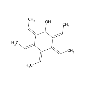 CC=C1C(=CC)C(=CC)C(O)C(=CC)C1=CC